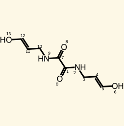 O=C(NCC=CO)C(=O)NCC=CO